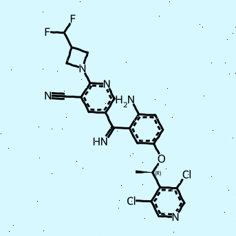 C[C@@H](Oc1ccc(N)c(C(=N)c2cnc(N3CC(C(F)F)C3)c(C#N)c2)c1)c1c(Cl)cncc1Cl